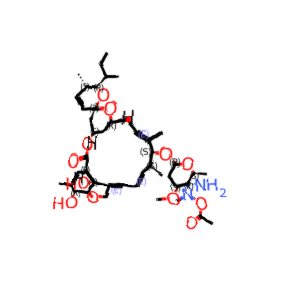 CCC(C)[C@H]1O[C@]2(C=C[C@@H]1C)C[C@@H]1C[C@@H](C/C=C(\C)[C@@H](O[C@H]3C[C@H](OC)[C@](N)(N(C)OC(C)=O)[C@H](C)O3)[C@@H](C)/C=C/C=C3\COC4[C@H](O)C(C)=C[C@@H](C(=O)O1)[C@]34O)O2